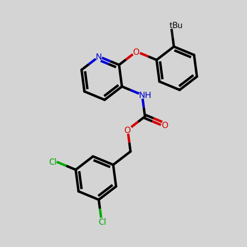 CC(C)(C)c1ccccc1Oc1ncccc1NC(=O)OCc1cc(Cl)cc(Cl)c1